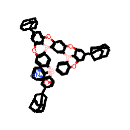 c1ccc2c(c1)Oc1cc(C34CC5CC(CC(C5)C3)C4)cc3c1B2c1cc2c(cc1N3)Oc1cc(C34CC5CC(CC(C5)C3)C4)cc3c1B2c1cc2c(cc1O3)Oc1cc(C34CC5CC(CC(C5)C3)C4)cc3c1B2c1ccccc1O3